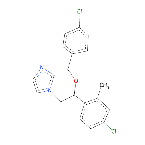 Cc1cc(Cl)ccc1C(Cn1ccnc1)OCc1ccc(Cl)cc1